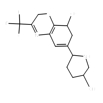 CC1CCC(C2=CC3=C(SCC(C(F)(F)F)=N3)C(C)C2)NC1